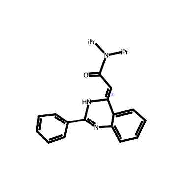 CC(C)N(C(=O)/C=C1\NC(c2ccccc2)=Nc2ccccc21)C(C)C